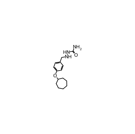 NC(=O)NNCc1ccc(OC2CCCCCC2)cc1